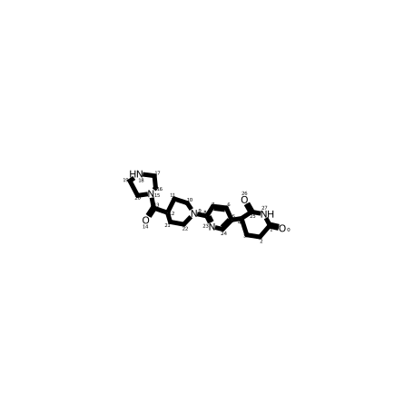 O=C1CCC(c2ccc(N3CCC(C(=O)N4CCNCC4)CC3)nc2)C(=O)N1